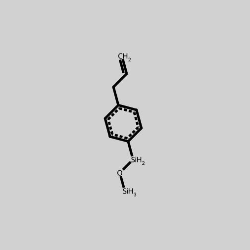 C=CCc1ccc([SiH2]O[SiH3])cc1